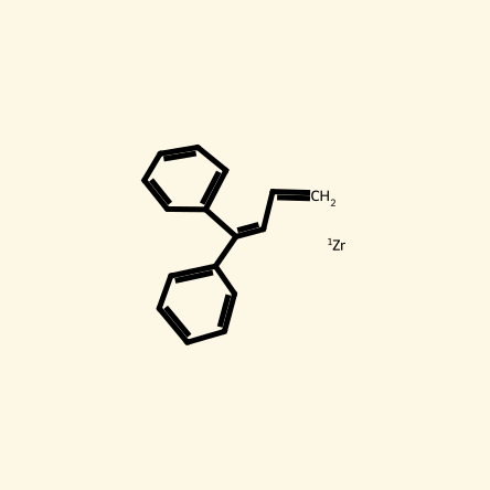 C=CC=C(c1ccccc1)c1ccccc1.[1Zr]